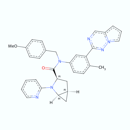 COc1ccc(CN(C(=O)[C@H]2C[C@H]3C[C@H]3N2c2ccccn2)c2ccc(C)c(-c3ncc4cccn4n3)c2)cc1